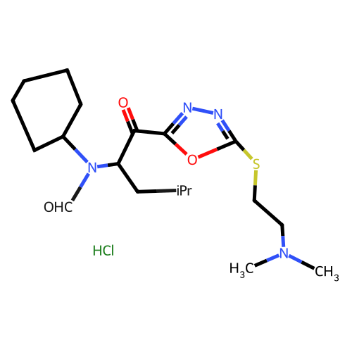 CC(C)CC(C(=O)c1nnc(SCCN(C)C)o1)N(C=O)C1CCCCC1.Cl